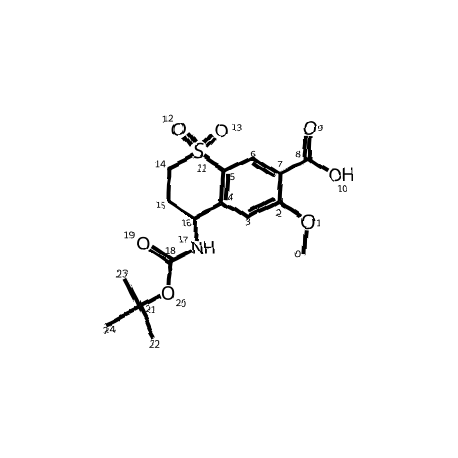 COc1cc2c(cc1C(=O)O)S(=O)(=O)CCC2NC(=O)OC(C)(C)C